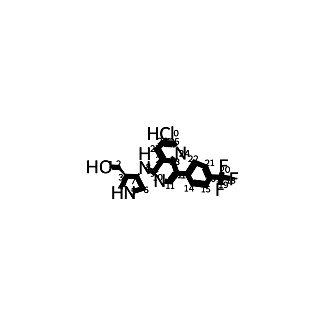 Cl.OC[C@@H]1CNC[C@H]1Nc1ncc(-c2ccc(C(F)(F)F)cc2)c2ncccc12